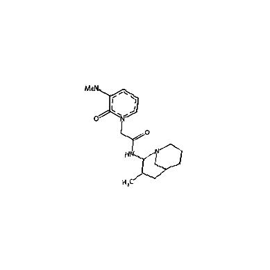 CNc1cccn(CC(=O)NC2C(C)CC3CCCN2C3)c1=O